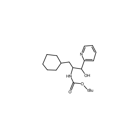 CC(C)(C)OC(=O)NC(CC1CCCCC1)C(O)c1ccccn1